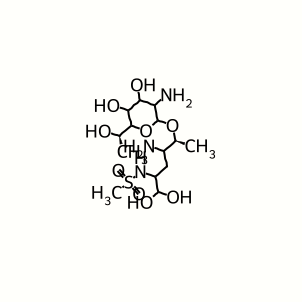 C[C@H](OC1OC([C@@H](C)O)C(O)C(O)C1N)C(N)CC(NS(C)(=O)=O)C(O)O